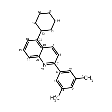 Cc1cc(C)cc(-c2ccc3c(C4CCCCC4)cccc3n2)c1